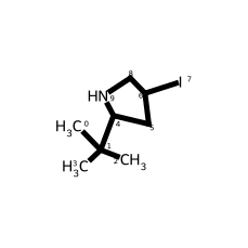 CC(C)(C)C1CC(I)CN1